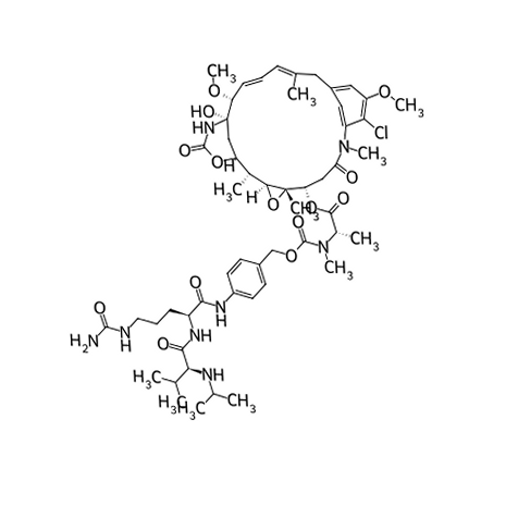 COc1cc2cc(c1Cl)N(C)C(=O)C[C@H](OC(=O)[C@H](C)N(C)C(=O)OCc1ccc(NC(=O)[C@H](CCCNC(N)=O)NC(=O)[C@@H](NC(C)C)C(C)C)cc1)[C@]1(C)O[C@H]1[C@H](C)[C@@H]1C[C@@](O)(NC(=O)O1)[C@H](OC)/C=C/C=C(\C)C2